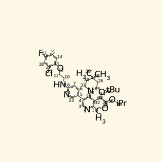 Cc1ncc(-c2ccc(NCCOc3ccc(F)cc3Cl)nc2)c(N2CCC(C)(C)CC2)c1[C@H](OC(C)(C)C)C(=O)OC(C)C